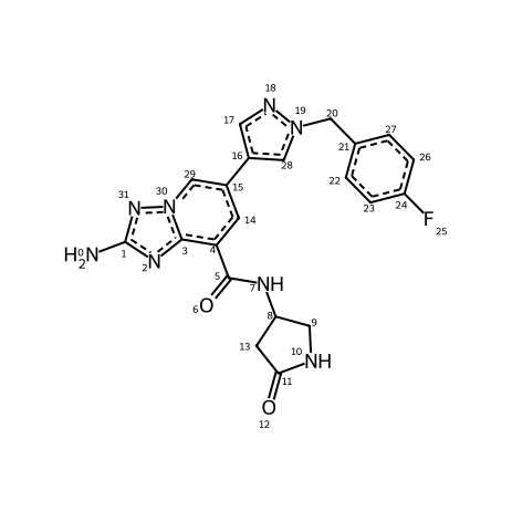 Nc1nc2c(C(=O)NC3CNC(=O)C3)cc(-c3cnn(Cc4ccc(F)cc4)c3)cn2n1